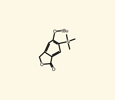 CC(C)(C)Oc1cc2c(cc1[Si](C)(C)C)C(=O)OC2